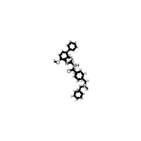 COc1ccc(-c2ccccc2)c2sc(NC(=O)c3ccc(CN(C)Cc4ccccc4)cc3)nc12